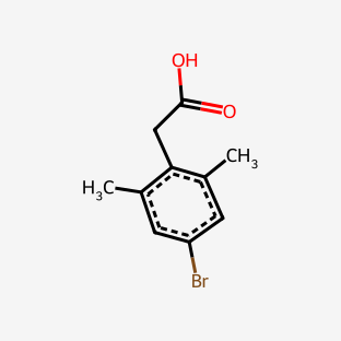 Cc1cc(Br)cc(C)c1CC(=O)O